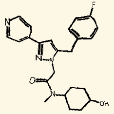 CN(C(=O)Cn1nc(-c2ccncc2)cc1Cc1ccc(F)cc1)C1CCC(O)CC1